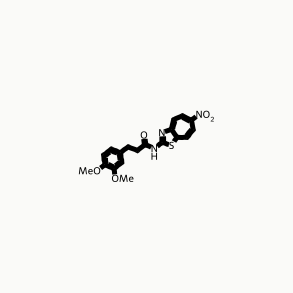 COc1ccc(CCC(=O)NC2=NC3=CC=C([N+](=O)[O-])C=CC3S2)cc1OC